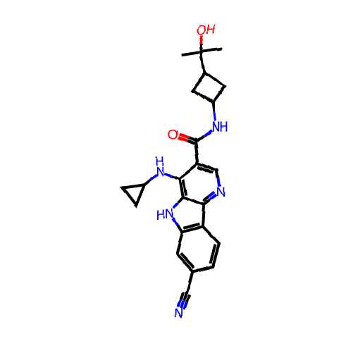 CC(C)(O)C1CC(NC(=O)c2cnc3c([nH]c4cc(C#N)ccc43)c2NC2CC2)C1